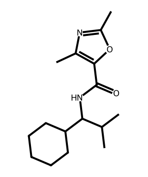 Cc1nc(C)c(C(=O)NC(C(C)C)C2CCCCC2)o1